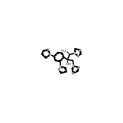 C[C@@H](n1cncn1)[C@](O)(Cn1cncn1)c1ccc(-n2cccn2)cc1-n1cccn1